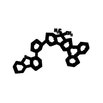 CC1(C)c2ccc(-c3cccc(-c4cccc5c4SC4=CC=CCC45)c3)cc2-c2cc3c4ccccc4c4ccccc4c3cc21